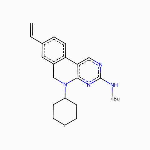 C=Cc1ccc2c(c1)CN(C1CC[CH]CC1)c1nc(NCCCC)ncc1-2